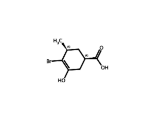 C[C@H]1C[C@@H](C(=O)O)CC(O)=C1Br